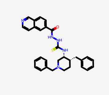 O=C(NNC(=S)N[C@H]1CN(Cc2ccccc2)CC[C@H]1Cc1ccccc1)c1ccc2cnccc2c1